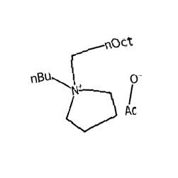 CC(=O)[O-].CCCCCCCCC[N+]1(CCCC)CCCC1